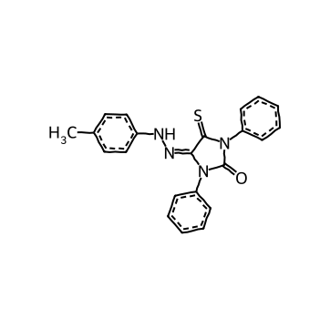 Cc1ccc(N/N=C2\C(=S)N(c3ccccc3)C(=O)N2c2ccccc2)cc1